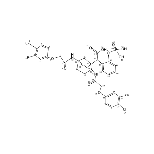 O=C(COc1ccc(Cl)c(F)c1)NC12CCC(NC(=O)COc3ccc(Cl)c(F)c3)(CC1)C(C(C(=O)O)c1ccccc1OP(=O)(O)O)C2